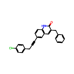 O=c1[nH]c2ccc(C#CCc3ccc(Cl)cc3)cc2cc1Cc1ccccc1